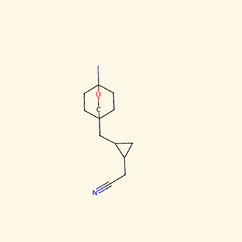 N#CCC1CC1CC12CCC(I)(CC1)OC2